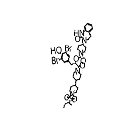 CCC(C)S(=O)(=O)N1CCC(C2CCN(C(=O)[C@@H](Cc3cc(Br)c(O)c(Br)c3)OC(=O)N3CCC(N4CCc5ccccc5NC4=O)CC3)CC2)CC1